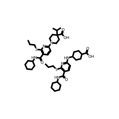 CCCSc1nc(N2CCC(C(=O)O)(C(C)C)CC2)ccc1C(=O)NC1CCCCC1.CCCSc1nc(NC2CCC(C(=O)O)CC2)ccc1C(=O)NC1CCCCC1